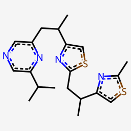 Cc1nc(C(C)Cc2nc(C(C)Cc3cncc(C(C)C)n3)cs2)cs1